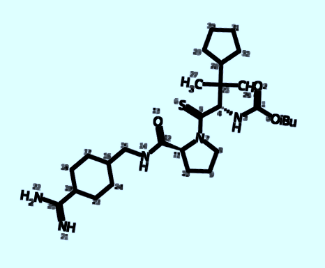 CC(C)COC(=O)N[C@H](C(=S)N1CCC[C@H]1C(=O)NCC1CCC(C(=N)N)CC1)C(C)(C)C1CCCC1